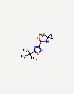 CC1(NC(=O)c2noc(C(C)(C)C)n2)CC1